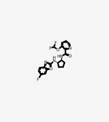 O=C(N[C@H]1CCC[C@@H]1Nc1nc2ccc(F)cc2o1)c1ncccc1OC(F)F